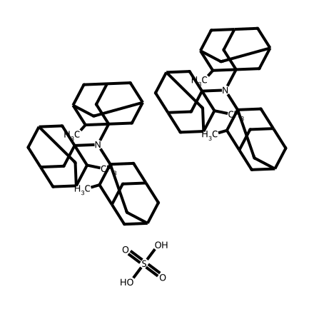 CC1C2CC3CC(C2)CC1(N(C12CC4CC(CC(C4)C1C)C2)C12CC4CC(CC(C4)C1C)C2)C3.CC1C2CC3CC(C2)CC1(N(C12CC4CC(CC(C4)C1C)C2)C12CC4CC(CC(C4)C1C)C2)C3.O=S(=O)(O)O